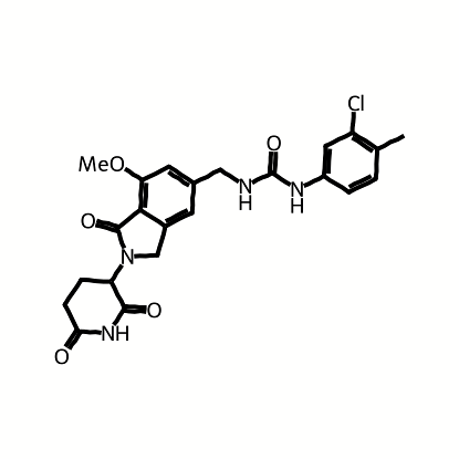 COc1cc(CNC(=O)Nc2ccc(C)c(Cl)c2)cc2c1C(=O)N(C1CCC(=O)NC1=O)C2